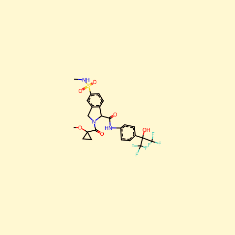 CNS(=O)(=O)c1ccc2c(c1)CN(C(=O)C1(OC)CC1)C2C(=O)Nc1ccc(C(O)(C(F)(F)F)C(F)(F)F)cc1